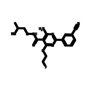 CC(O)CONC(=O)c1c(N)nc(-c2cccc(C#N)c2)nc1OCCF